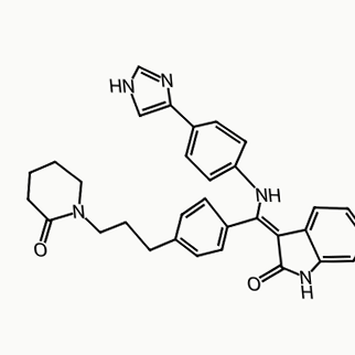 O=C1Nc2ccccc2C1=C(Nc1ccc(-c2c[nH]cn2)cc1)c1ccc(CCCN2CCCCC2=O)cc1